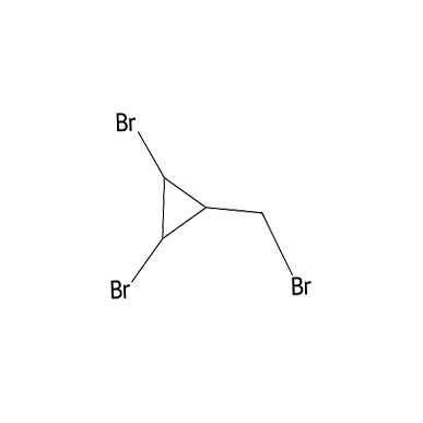 BrCC1C(Br)C1Br